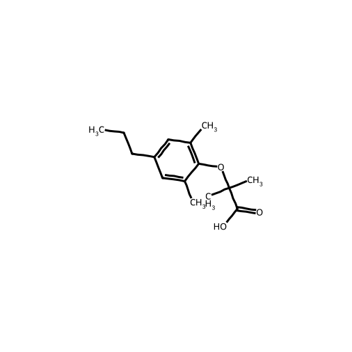 CCCc1cc(C)c(OC(C)(C)C(=O)O)c(C)c1